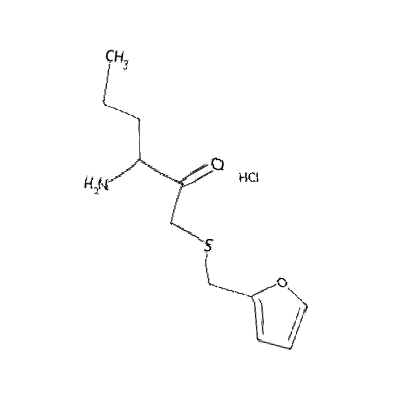 CCCC(N)C(=O)CSCc1ccco1.Cl